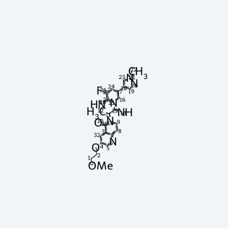 COCCOc1cnc2ccn(C(C)C(=N)n3cc(-c4cnn(C)c4)cc(F)c3=N)c(=O)c2c1